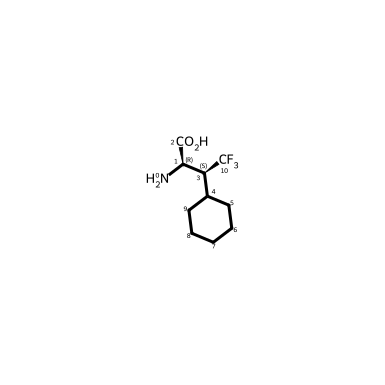 N[C@@H](C(=O)O)[C@H](C1CCCCC1)C(F)(F)F